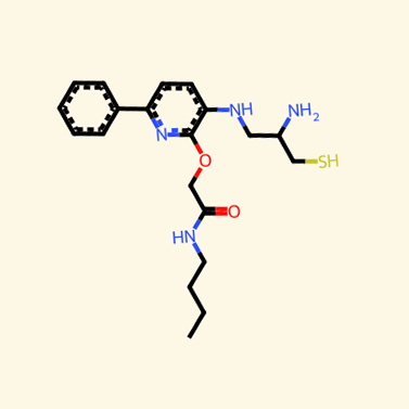 CCCCNC(=O)COc1nc(-c2ccccc2)ccc1NCC(N)CS